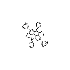 c1ccc(-n2c3cc(-c4cncnc4)c4cccc5c4c3-c3c4c(cccc42)c(-c2cncnc2)cc3n5-c2ccccc2)cc1